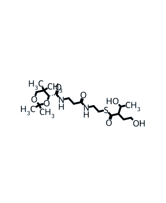 CC(O)C(CCO)C(=O)SCCNC(=O)CCNC(=O)[C@@H]1OC(C)(C)OCC1(C)C